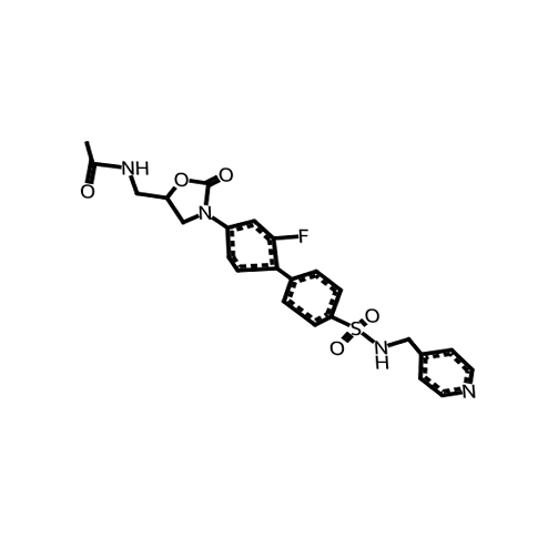 CC(=O)NCC1CN(c2ccc(-c3ccc(S(=O)(=O)NCc4ccncc4)cc3)c(F)c2)C(=O)O1